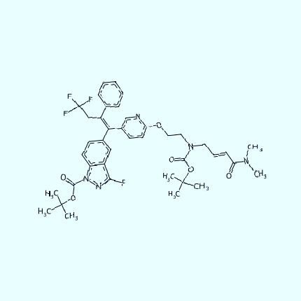 CN(C)C(=O)/C=C/CN(CCOc1ccc(/C(=C(/CC(F)(F)F)c2ccccc2)c2ccc3c(c2)c(F)nn3C(=O)OC(C)(C)C)cn1)C(=O)OC(C)(C)C